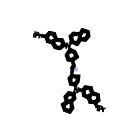 CC(C)c1ccc2cc(N(c3ccc(/C=C/c4ccc(N(c5ccc6ccccc6c5)c5ccc6ccc(C(C)C)cc6c5)cc4)cc3)c3ccc4ccccc4c3)ccc2c1